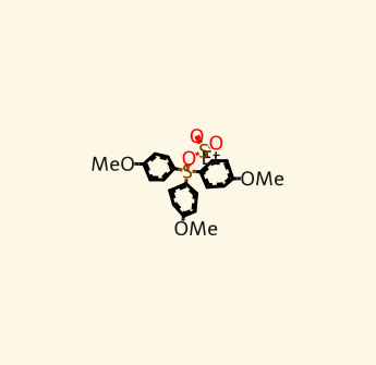 CCS(=O)(=O)OS(c1ccc(OC)cc1)(c1ccc(OC)cc1)c1ccc(OC)cc1